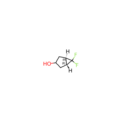 OC1C[C@@H]2[C@@H](C1)C2(F)F